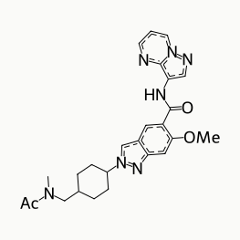 COc1cc2nn(C3CCC(CN(C)C(C)=O)CC3)cc2cc1C(=O)Nc1cnn2cccnc12